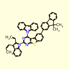 C=Cc1c(/C=C\C)c2ccccc2n1-c1nc(-n2c3ccccc3c3ccccc32)c2c(n1)sc1ccc(-c3ccc4c(c3)C(C)(C)c3ccccc3-4)cc12